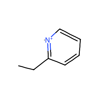 CCC1=[N+]C=CC=C1